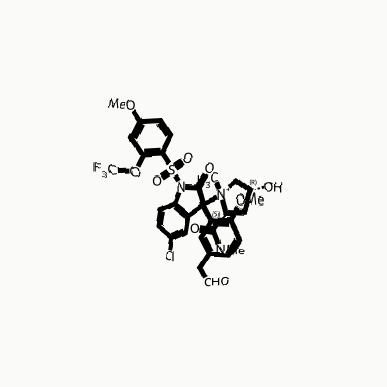 CNC(=O)[C@@H]1C[C@@H](O)C[N+]1(C)C1(c2cc(CC=O)ccc2OC)C(=O)N(S(=O)(=O)c2ccc(OC)cc2OC(F)(F)F)c2ccc(Cl)cc21